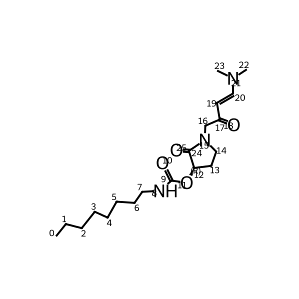 CCCCCCCCNC(=O)O[C@@H]1CCN(CC(=O)C=CN(C)C)C1=O